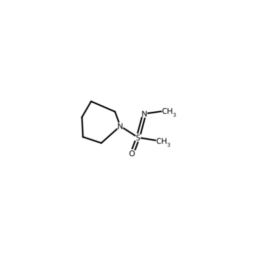 CN=S(C)(=O)N1CCCCC1